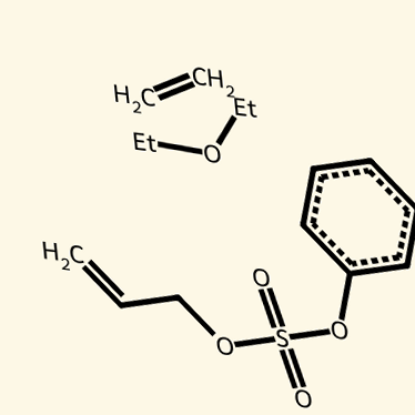 C=C.C=CCOS(=O)(=O)Oc1ccccc1.CCOCC